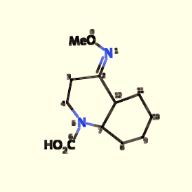 CON=C1CCN(C(=O)O)C2CCCCC12